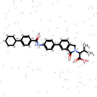 CC(C)C(C(=O)O)N1Cc2ccc(-c3ccc(NC(=O)c4ccc(C5CCCCC5)cc4)cc3)cc2C1=O